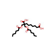 CCCCCC(=O)OCC(CCCCCCC(=O)O)(COC(=O)CCCCC)C(=O)O